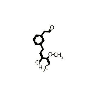 C/C=C(OC)\C(Cl)=C/Cc1cccc(CC=O)c1